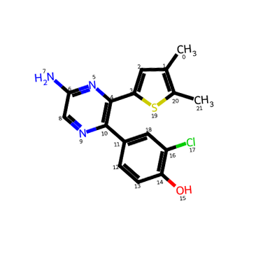 Cc1cc(-c2nc(N)cnc2-c2ccc(O)c(Cl)c2)sc1C